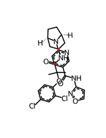 CC(C)(Oc1ccc(Cl)cc1Cl)C(=O)N[C@H]1C[C@H]2CC[C@@H](C1)N2c1ccc(C(=O)Nc2ccon2)cn1